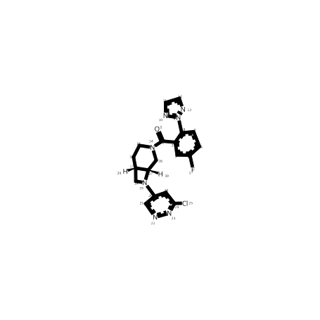 O=C(c1cc(F)ccc1-n1nccn1)N1CC[C@H]2CN(c3cnnc(Cl)c3)[C@H]2C1